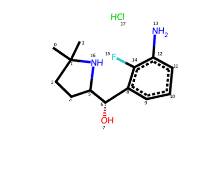 CC1(C)CCC([C@@H](O)c2cccc(N)c2F)N1.Cl